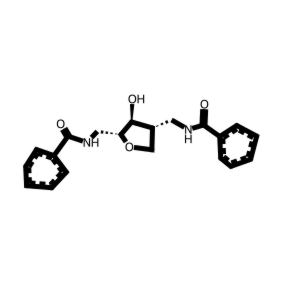 O=C(NC[C@@H]1CO[C@H](CNC(=O)c2ccccc2)[C@H]1O)c1ccccc1